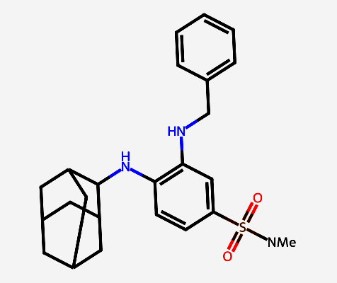 CNS(=O)(=O)c1ccc(NC2C3CC4CC(C3)CC2C4)c(NCc2ccccc2)c1